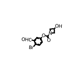 O=Cc1cc(OC(=O)N2CC(O)C2)ccc1Br